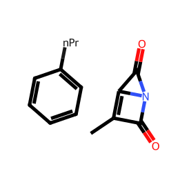 CC1=C2C(=O)N2C1=O.CCCc1ccccc1